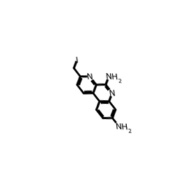 Nc1ccc2c(c1)nc(N)c1nc(CI)ccc12